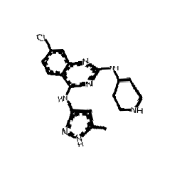 Cc1cc(Nc2nc(NC3CCNCC3)nc3cc(Cl)ccc23)n[nH]1